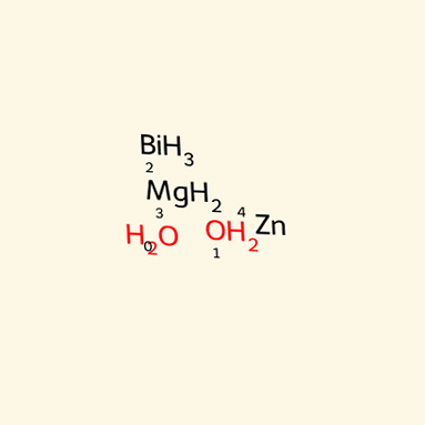 O.O.[BiH3].[MgH2].[Zn]